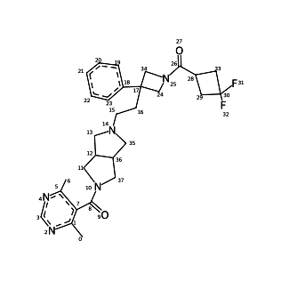 Cc1ncnc(C)c1C(=O)N1CC2CN(CCC3(c4ccccc4)CN(C(=O)C4CC(F)(F)C4)C3)CC2C1